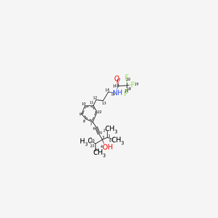 CC(C)C(O)(C#Cc1cccc(CCCNC(=O)C(F)(F)F)c1)C(C)C